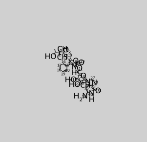 CC(C)(CO)C(=O)SCCOP(=O)(NCc1ccccc1)OC[C@H]1O[C@@H](n2cnc3c(=O)[nH]c(N)cc32)C(C)(O)C1O